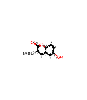 COc1cc2cc(O)ccc2oc1=O